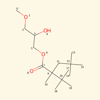 COCC(O)COC(=O)C(C)(CC(C)(C)C)C(C)(C)C